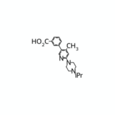 Cc1cc(N2CCN(C(C)C)CC2)ncc1-c1cccc(C(=O)O)c1